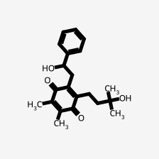 CC1=C(C)C(=O)C(CC(O)c2ccccc2)=C(CCC(C)(C)O)C1=O